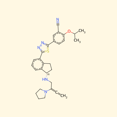 C=C=C(CN[C@H]1CCc2c(-c3nnc(-c4ccc(OC(C)C)c(C#N)c4)s3)cccc21)N1CCCC1